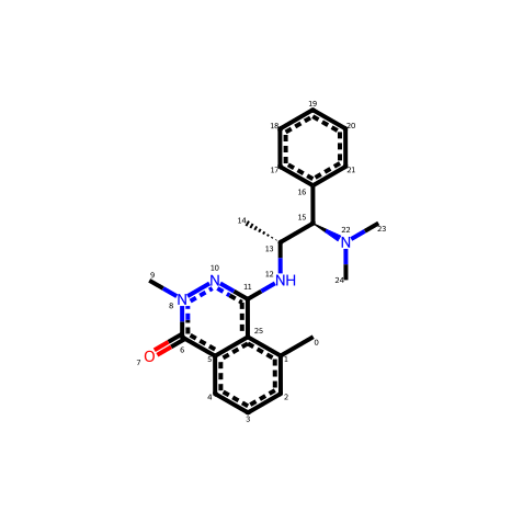 Cc1cccc2c(=O)n(C)nc(N[C@H](C)[C@@H](c3ccccc3)N(C)C)c12